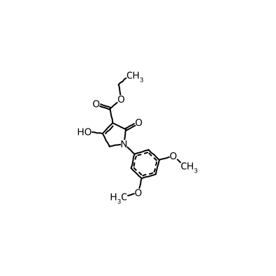 CCOC(=O)C1=C(O)CN(c2cc(OC)cc(OC)c2)C1=O